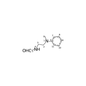 CN(CCNC=O)c1ccccc1